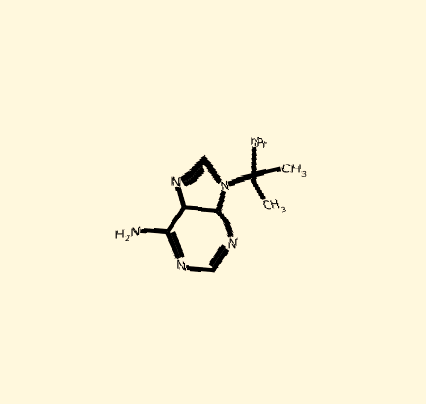 CCCC(C)(C)N1C=NC2C(N)=NC=NC21